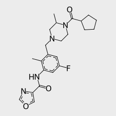 Cc1c(CN2CCN(C(=O)C3CCCC3)C(C)C2)cc(F)cc1NC(=O)c1cocn1